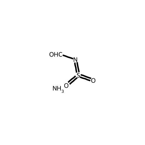 N.O=CN=S(=O)=O